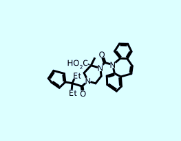 CCC(CC)(C(=O)N1CCN(C(=O)N2c3ccccc3C=Cc3ccccc32)[C@@](C)(C(=O)O)C1)c1ccccc1